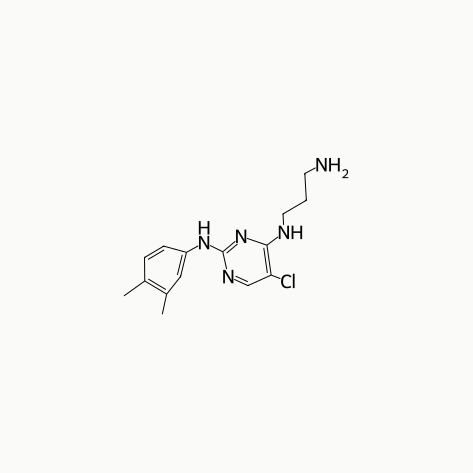 Cc1ccc(Nc2ncc(Cl)c(NCCCN)n2)cc1C